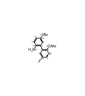 COc1ncc(F)cc1-c1cc(C(C)(C)C)ccc1N